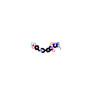 C=C1CCC(N2Cc3cc(C4CCN(Cc5ccc6c(c5)OC(F)(F)O6)CC4)ccc3C2=O)C(=O)N1